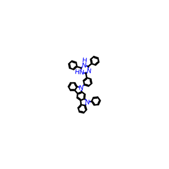 c1ccc(C2N=C(c3cccc(-n4c5ccccc5c5cc6c7ccccc7n(-c7ccccc7)c6cc54)c3)NC(c3ccccc3)N2)cc1